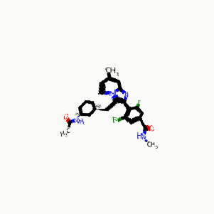 CNC(=O)c1cc(F)c(-c2nc3cc(C)ccn3c2C[C@@H]2CCC[C@@H](NC(C)=O)C2)c(F)c1